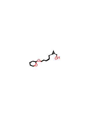 OC[C@@H]1C[C@@H]1C/C=C\CCOC1CCCCO1